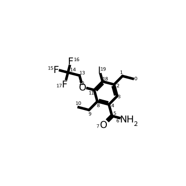 CCc1cc(C(N)=O)c(CC)c(OCC(F)(F)F)c1I